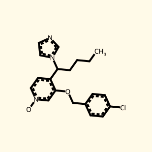 CCCCC(c1cc[n+]([O-])cc1OCc1ccc(Cl)cc1)n1ccnc1